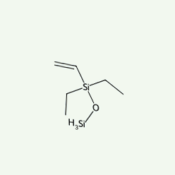 C=C[Si](CC)(CC)O[SiH3]